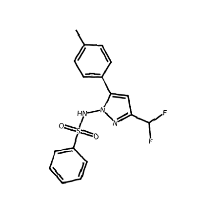 Cc1ccc(-c2cc(C(F)F)nn2NS(=O)(=O)c2ccccc2)cc1